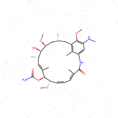 CNc1cc2c(C)c(c1OC)C[C@@H](C)C[C@H](OC)[C@H](O)[C@@H](C)/C=C(\C)[C@H](OC(N)=O)[C@@H](OC)/C=C\C=C(/C)C(=O)N2